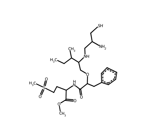 CCC(C)C(COC(Cc1ccccc1)C(=O)NC(CCS(C)(=O)=O)C(=O)OC)NCC(N)CS